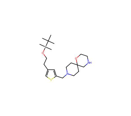 CC(C)(C)[Si](C)(C)OCCc1csc(CN2CCC3(CC2)CNCCO3)c1